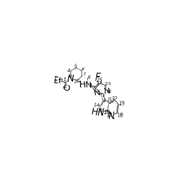 CCC(=O)N1CCC[C@H](CNc2nc(-c3c[nH]c4ncccc34)ncc2F)C1